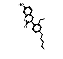 CCCCCc1ccc(-c2cc3ccc(O)cc3sc2=O)c(CC)c1